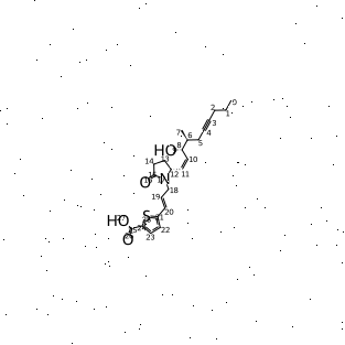 CCCC#CC[C@H](C)[C@@H](O)/C=C\[C@H]1CCC(=O)N1CC=Cc1ccc(C(=O)O)s1